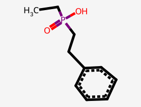 CCP(=O)(O)CCc1ccccc1